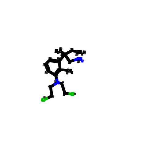 Cc1c(N(CCCl)CCCl)cccc1C(C)(CN)CC(=O)O